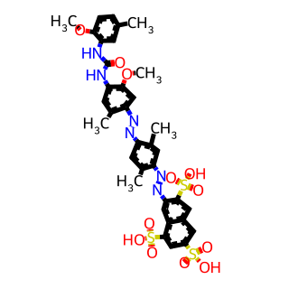 COc1ccc(C)cc1NC(=O)Nc1cc(C)c(N=Nc2cc(C)c(N=Nc3cc4c(S(=O)(=O)O)cc(S(=O)(=O)O)cc4cc3S(=O)(=O)O)cc2C)cc1OC